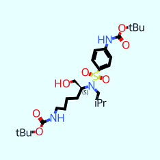 CC(C)CN([C@H](CO)CCCCNC(=O)OC(C)(C)C)S(=O)(=O)c1ccc(NC(=O)OC(C)(C)C)cc1